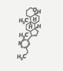 CCc1cncc(C2=CC[C@H]3[C@@H]4CC[C@H]5OCCC[C@]5(C)[C@H]4CC[C@]23C)c1